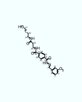 COc1cccc(/C=N/NC(=O)c2ccc(C(=O)NCCC(=O)NCCCCO)cc2)c1